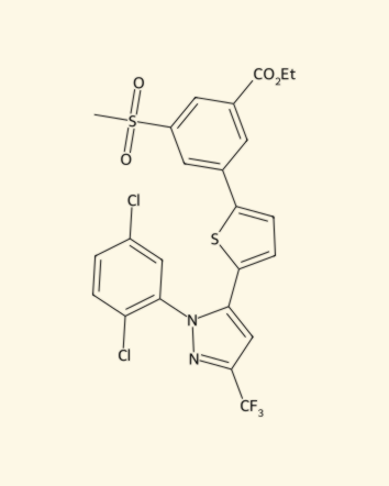 CCOC(=O)c1cc(-c2ccc(-c3cc(C(F)(F)F)nn3-c3cc(Cl)ccc3Cl)s2)cc(S(C)(=O)=O)c1